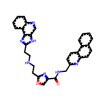 O=C(NCc1ccc2c(ccc3ccccc32)n1)c1coc(CCNCCc2nc3c(cnc4ccccc43)[nH]2)n1